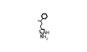 CC(CCC1=CNN(N)S1)c1ccccc1